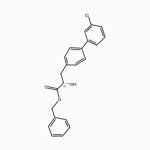 O=C(OCc1ccccc1)[C@@H](O)Cc1ccc(-c2cccc(Cl)c2)cc1